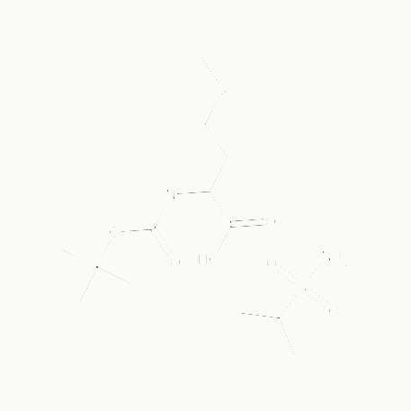 CC(C)S(N)(=O)=O.CSCCC(NC(=O)OC(C)(C)C)C(=O)O